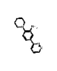 Nc1cc(-c2cccnn2)ccc1N1CCCCC1